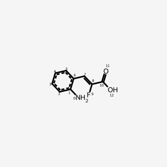 Nc1ccccc1/C=C(\F)C(=O)O